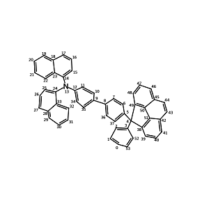 c1ccc(C2(c3ccc(-c4ccc(N(c5cccc6ccccc56)c5cccc6ccccc56)cc4)cc3)c3cccc4ccc5cccc2c5c34)cc1